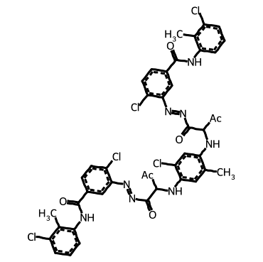 CC(=O)C(Nc1cc(Cl)c(NC(C(C)=O)C(=O)/N=N/c2cc(C(=O)Nc3cccc(Cl)c3C)ccc2Cl)cc1C)C(=O)/N=N/c1cc(C(=O)Nc2cccc(Cl)c2C)ccc1Cl